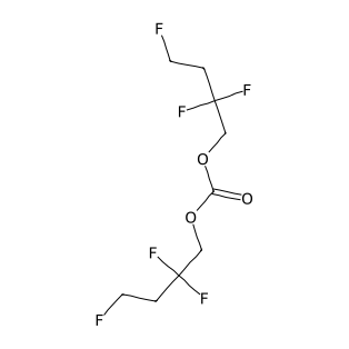 O=C(OCC(F)(F)CCF)OCC(F)(F)CCF